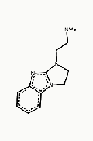 CNCCN1CCn2c1nc1ccccc12